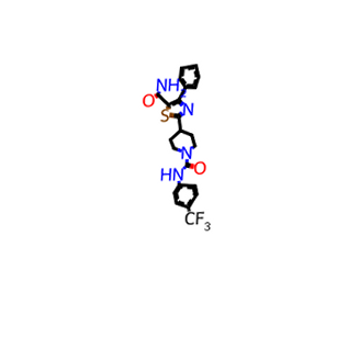 NC(=O)c1sc(C2CCN(C(=O)Nc3ccc(C(F)(F)F)cc3)CC2)nc1-c1ccccc1